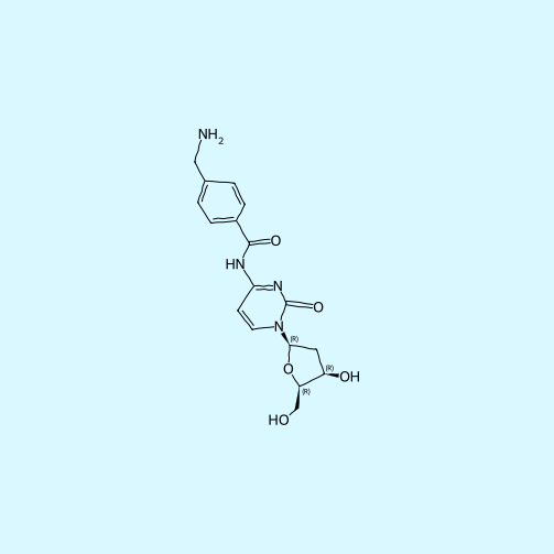 NCc1ccc(C(=O)Nc2ccn([C@H]3C[C@@H](O)[C@@H](CO)O3)c(=O)n2)cc1